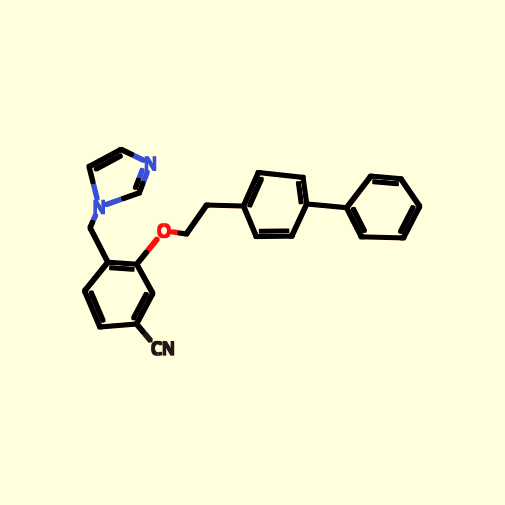 N#Cc1ccc(Cn2ccnc2)c(OCCc2ccc(-c3ccccc3)cc2)c1